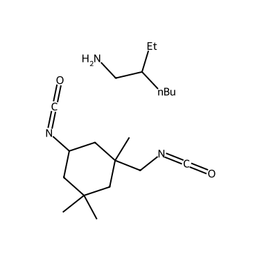 CC1(C)CC(N=C=O)CC(C)(CN=C=O)C1.CCCCC(CC)CN